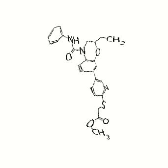 CCC1CN(C(=O)Nc2ccccc2)c2ccc(-c3ccc(SCC(=O)OC)nc3)cc2O1